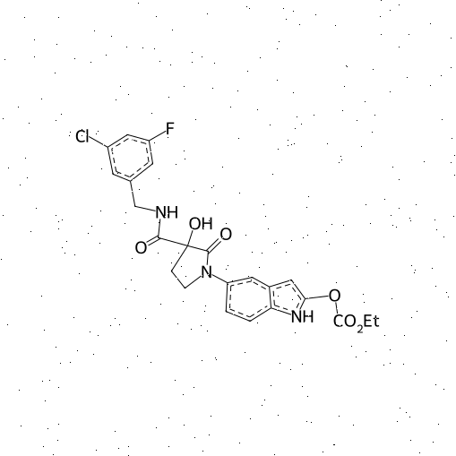 CCOC(=O)Oc1cc2cc(N3CCC(O)(C(=O)NCc4cc(F)cc(Cl)c4)C3=O)ccc2[nH]1